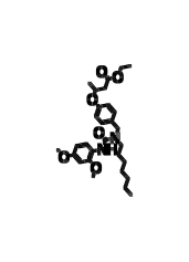 CCCCCCCN(Cc1ccc(OC(C)CC(=O)OCC)cc1)C(=O)Nc1ccc(OC)cc1OC